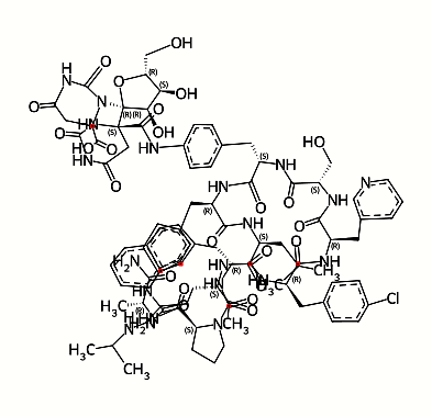 CC(=O)N[C@H](Cc1ccc2ccccc2c1)C(=O)N[C@H](Cc1ccc(Cl)cc1)C(=O)N[C@H](Cc1cccnc1)C(=O)N[C@@H](CO)C(=O)N[C@@H](Cc1ccc(NC(=O)[C@@]2([C@@]3(N4C(=O)NC(=O)CC4C(=O)O)O[C@H](CO)[C@@H](O)[C@H]3O)CC(=O)NC(=O)N2)cc1)C(=O)N[C@H](Cc1ccc(NC(N)=O)cc1)C(=O)N[C@@H](CC(C)C)C(=O)N[C@@H](CCCCNC(C)C)C(=O)N1CCC[C@H]1C(=O)N[C@H](C)C(N)=O